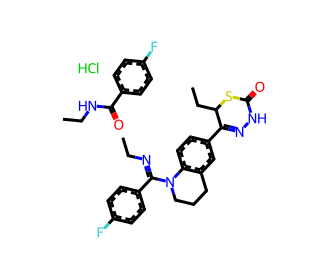 CCN=C(c1ccc(F)cc1)N1CCCc2cc(C3=NNC(=O)SC3CC)ccc21.CCNC(=O)c1ccc(F)cc1.Cl